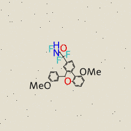 COc1cccc(C2Oc3cccc(OC)c3-c3ccc(C(F)(F)C(=O)NF)cc32)c1